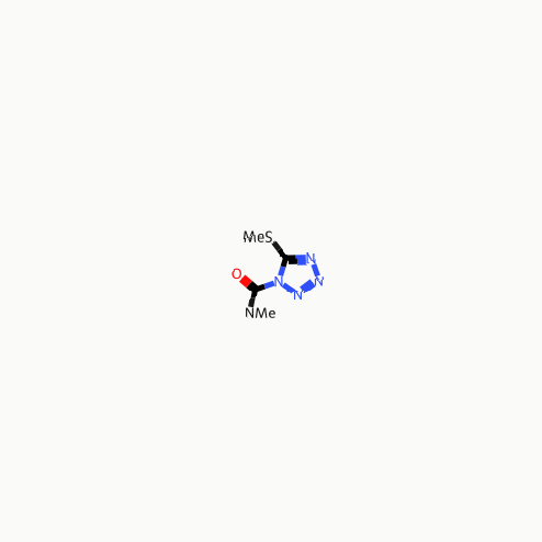 CNC(=O)n1nnnc1SC